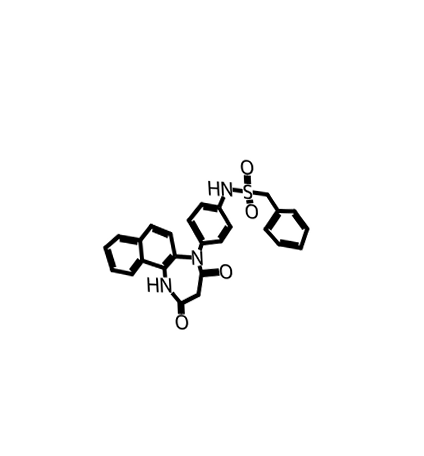 O=C1CC(=O)N(c2ccc(NS(=O)(=O)Cc3ccccc3)cc2)c2ccc3ccccc3c2N1